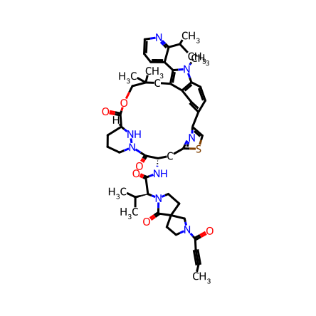 CC#CC(=O)N1CCC2(CCN([C@H](C(=O)N[C@H]3Cc4nc(cs4)-c4ccc5c(c4)c(c(-c4cccnc4C(C)C)n5C)CC(C)(C)COC(=O)[C@@H]4CCCN(N4)C3=O)C(C)C)C2=O)C1